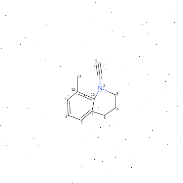 C#CN1CCCc2cccc(C)c21